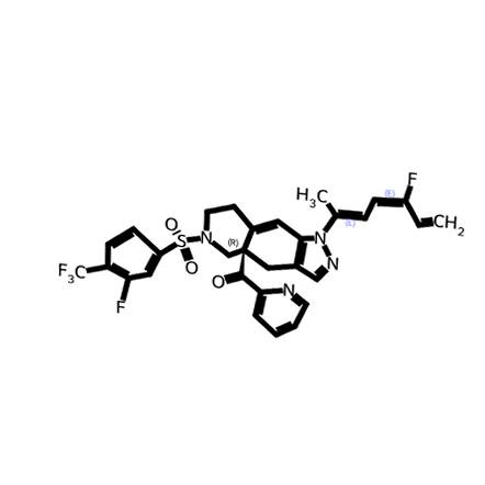 C=C/C(F)=C\C=C(/C)n1ncc2c1C=C1CCN(S(=O)(=O)c3ccc(C(F)(F)F)c(F)c3)C[C@@]1(C(=O)c1ccccn1)C2